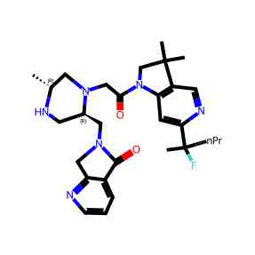 CCCC(C)(F)c1cc2c(cn1)C(C)(C)CN2C(=O)CN1C[C@@H](C)NC[C@@H]1CN1Cc2ncccc2C1=O